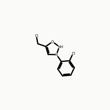 ClCC1=CN(c2ccccc2Cl)NO1